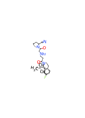 CC(C)(C)C1c2cc(F)ccc2CCN1C(=O)CCNCC(=O)N1CCCC1C#N